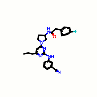 CCCc1cc(N2CCC(NC(=O)Cc3ccc(F)cc3)C2)nc(Nc2cccc(C#N)c2)n1